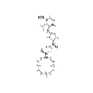 Nc1ncnc2c1ncn2[C@H]1CC[C@@H](C(=O)NCC(=O)N2CCNCCNCCNCC2)O1